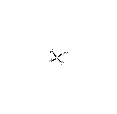 CS[Si](C(C)C)(C(C)C)C(C)C